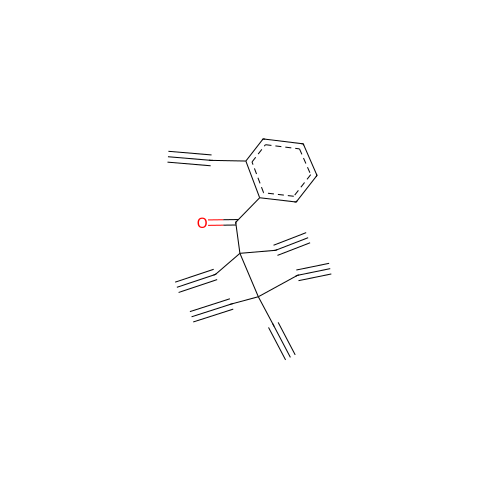 C#Cc1ccccc1C(=O)C(C#C)(C#C)C(C#C)(C#C)C#C